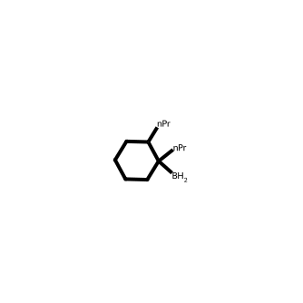 BC1(CCC)CCCCC1CCC